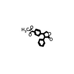 CS(=O)(=O)c1ccc(C2COC(=O)C2c2ccccc2)cc1